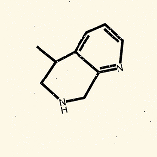 CC1CNCc2ncccc21